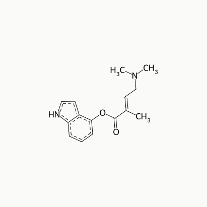 CC(=CCN(C)C)C(=O)Oc1cccc2[nH]ccc12